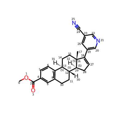 COC(=O)c1ccc2c(c1)CC[C@@H]1[C@@H]2CC[C@]2(C)C(c3cncc(C#N)c3)=CC[C@@H]12